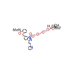 CNC(=O)c1ccccc1Sc1ccc2c(/C=C/c3ccccn3)nn(C(=O)OCCOCCOCCOCCO[Si](C)(C)C(C)(C)C)c2c1